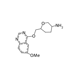 COc1ccc2ncnc(OCC3CCC(N)CO3)c2c1